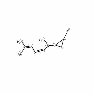 C/C(N)=C\C=C/N(C=O)[C@@H]1CC1F